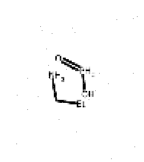 CCCN.O=[PH2]O